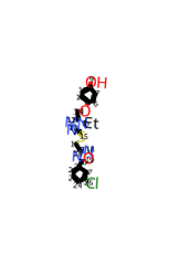 CCn1c(COc2ccc(O)cc2)nnc1SCc1noc(-c2cccc(Cl)c2)n1